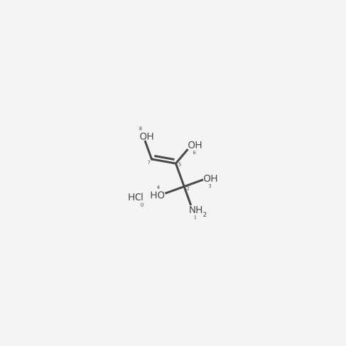 Cl.NC(O)(O)C(O)=CO